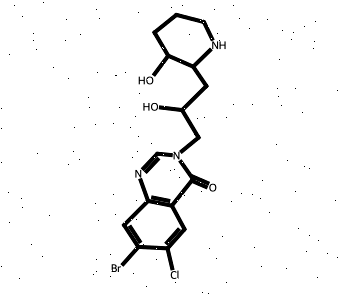 O=c1c2cc(Cl)c(Br)cc2ncn1CC(O)CC1NCCCC1O